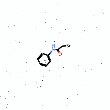 O=C(C[Se])Nc1ccccc1